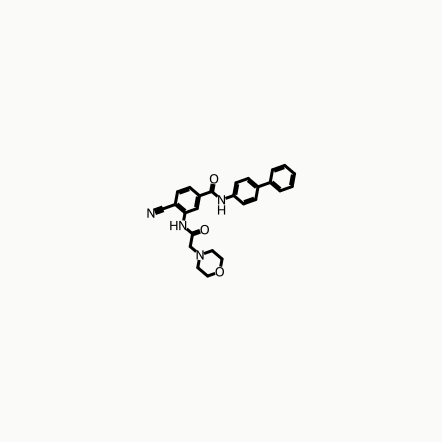 N#Cc1ccc(C(=O)Nc2ccc(-c3ccccc3)cc2)cc1NC(=O)CN1CCOCC1